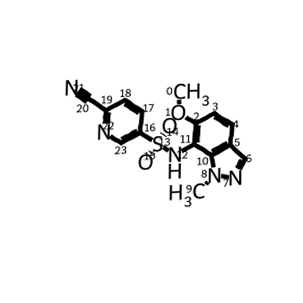 COc1ccc2cnn(C)c2c1NS(=O)(=O)c1ccc(C#N)nc1